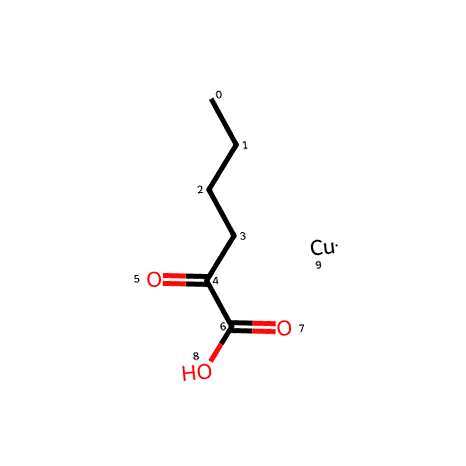 CCCCC(=O)C(=O)O.[Cu]